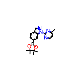 Cc1ccnc(-n2ncc3ccc(B4OC(C)(C)C(C)(C)O4)cc32)n1